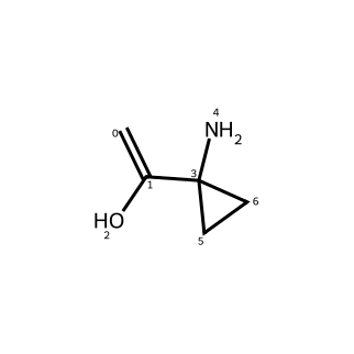 C=C(O)C1(N)CC1